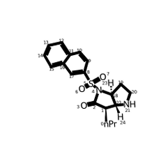 CCC[C@H]1C(=O)N(S(=O)(=O)c2ccc3ccccc3c2)[C@H]2CCN[C@H]12